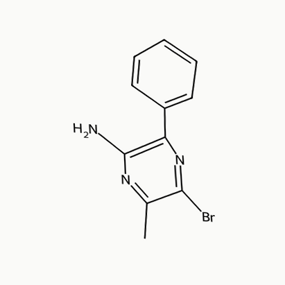 Cc1nc(N)c(-c2ccccc2)nc1Br